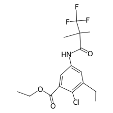 CCOC(=O)c1cc(NC(=O)C(C)(C)C(F)(F)F)cc(CC)c1Cl